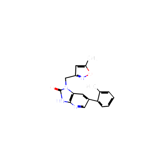 Cc1cc(Cn2c(=O)[nH]c3ncc(-c4ccccc4C)cc32)no1